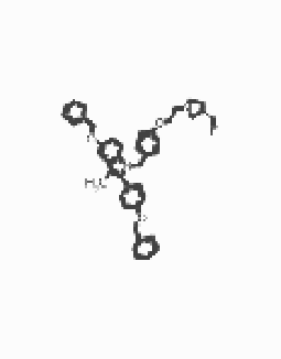 Cc1c(-c2ccc(OCc3ccccc3)cc2)n(Cc2ccc(OCCN3CC[C@@H](CF)C3)cc2)c2ccc(OCc3ccccc3)cc12